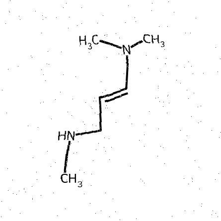 CNCC=CN(C)C